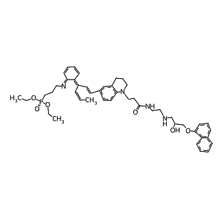 C\C=C/C(C=Cc1ccc2c(c1)CCCN2CCC(=O)NCCNCC(O)COc1cccc2ccccc12)=C1/C=CC=C/C1=N\CCCP(=O)(OCC)OCC